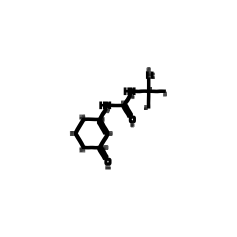 CCC(C)(C)NC(=O)NC1=CC(=O)CCC1